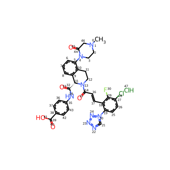 CN1CCN(c2cccc3c2CCN(C(=O)/C=C/c2c(-n4cnnn4)ccc(Cl)c2F)[C@@H]3C(=O)Nc2ccc(C(=O)O)cc2)C(=O)C1.Cl